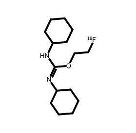 [18F]CCOC(=NC1CCCCC1)NC1CCCCC1